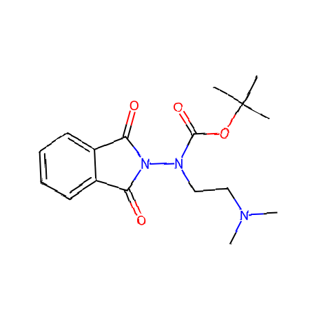 CN(C)CCN(C(=O)OC(C)(C)C)N1C(=O)c2ccccc2C1=O